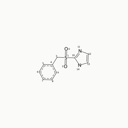 O=S(=O)(Cc1ccccc1)C1=NC=C[N]1